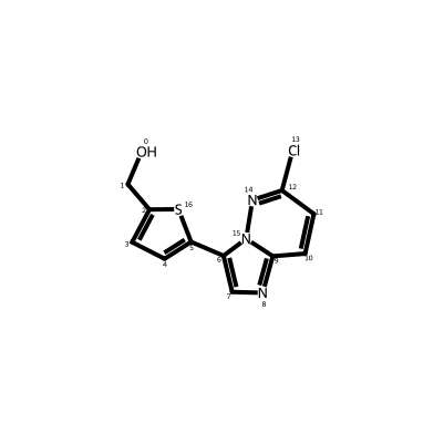 OCc1ccc(-c2cnc3ccc(Cl)nn23)s1